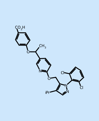 CC(C)c1cnn(-c2c(Cl)cccc2Cl)c1COc1ccc(C(C)Oc2ccc(C(=O)O)cc2)cn1